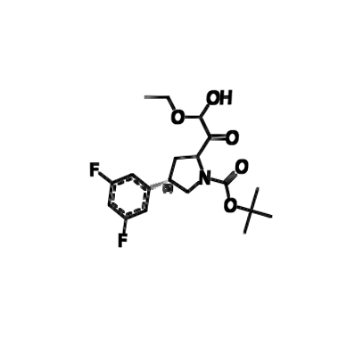 CCOC(O)C(=O)C1C[C@@H](c2cc(F)cc(F)c2)CN1C(=O)OC(C)(C)C